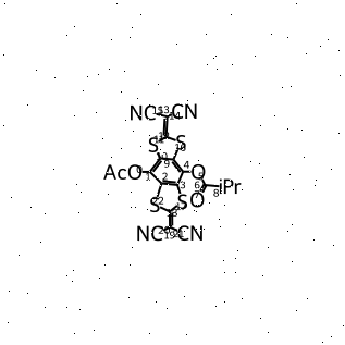 CC(=O)Oc1c2c(c(OC(=O)C(C)C)c3c1SC(=C(C#N)C#N)S3)SC(=C(C#N)C#N)S2